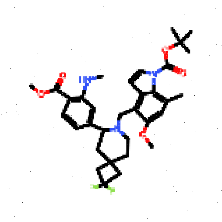 CNc1cc(C2CC3(CCN2Cc2c(OC)cc(C)c4c2ccn4C(=O)OC(C)(C)C)CC(F)(F)C3)ccc1C(=O)OC